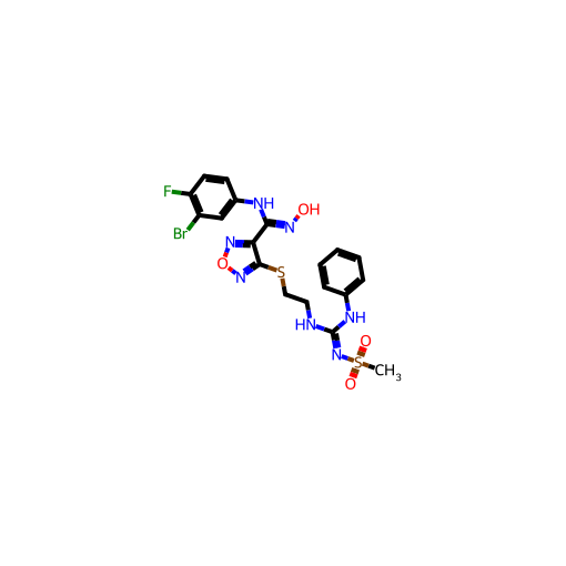 CS(=O)(=O)/N=C(/NCCSc1nonc1/C(=N/O)Nc1ccc(F)c(Br)c1)Nc1ccccc1